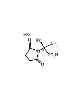 Br.CC(C)[C@@](N)(C(=O)O)N1C(=O)CCC1=O